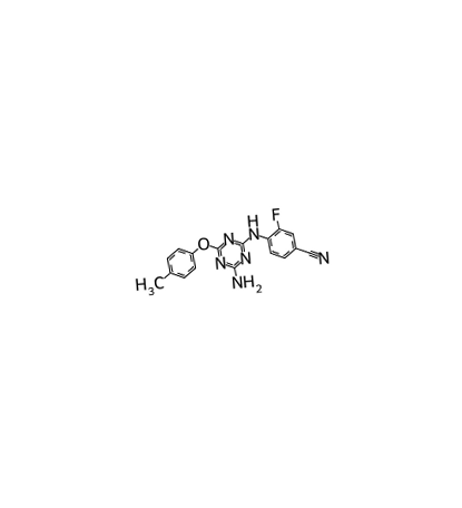 Cc1ccc(Oc2nc(N)nc(Nc3ccc(C#N)cc3F)n2)cc1